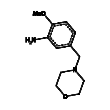 COc1ccc(CN2CCOCC2)cc1N